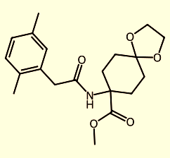 COC(=O)C1(NC(=O)Cc2cc(C)ccc2C)CCC2(CC1)OCCO2